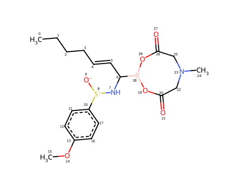 CCCC/C=C/C(N[S+]([O-])c1ccc(OC)cc1)B1OC(=O)CN(C)CC(=O)O1